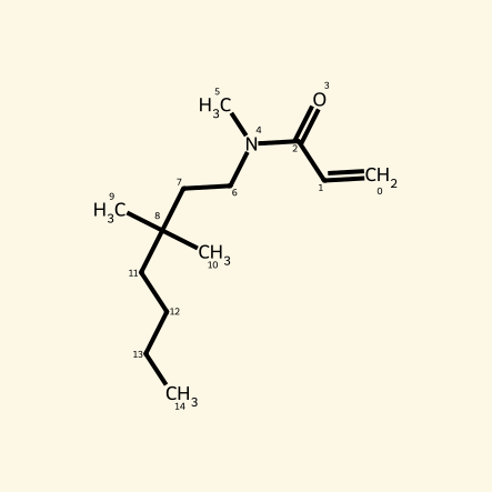 C=CC(=O)N(C)CCC(C)(C)CCCC